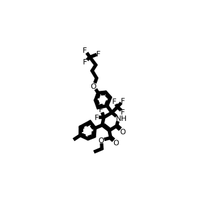 CCOC(=O)C1=C(c2ccc(C)cc2)C(F)(F)C(c2ccc(OCCCC(F)(F)F)cc2)(C(F)(F)F)NC1=O